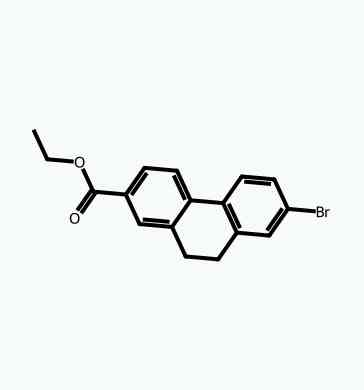 CCOC(=O)c1ccc2c(c1)CCc1cc(Br)ccc1-2